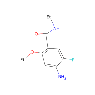 CCNC(=O)c1cc(F)c(N)cc1OCC